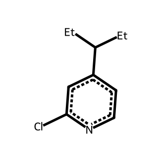 CCC(CC)c1ccnc(Cl)c1